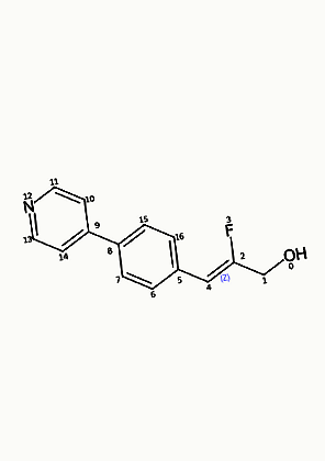 OC/C(F)=C/c1ccc(-c2ccncc2)cc1